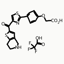 O=C(O)C(F)(F)F.O=C(O)COc1ccc(-c2nc(C(=O)c3cc4c(s3)CCNC4)cs2)cc1